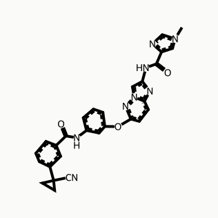 Cn1cnc(C(=O)Nc2cn3nc(Oc4cccc(NC(=O)c5cccc(C6(C#N)CC6)c5)c4)ccc3n2)c1